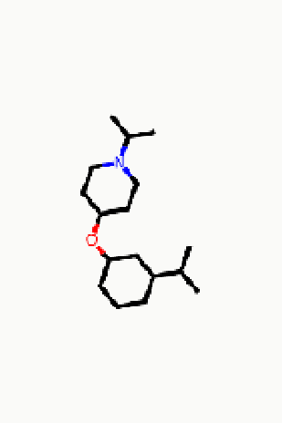 CC(C)C1CCCC(OC2CCN(C(C)C)CC2)C1